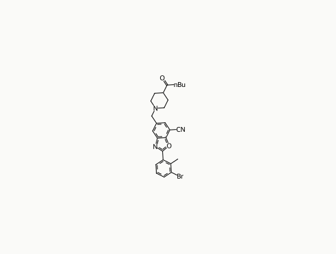 CCCCC(=O)C1CCN(Cc2cc(C#N)c3oc(-c4cccc(Br)c4C)nc3c2)CC1